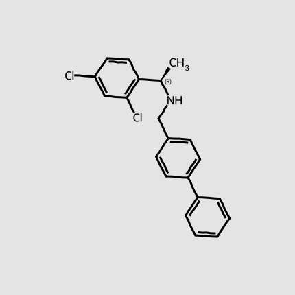 C[C@@H](NCc1ccc(-c2ccccc2)cc1)c1ccc(Cl)cc1Cl